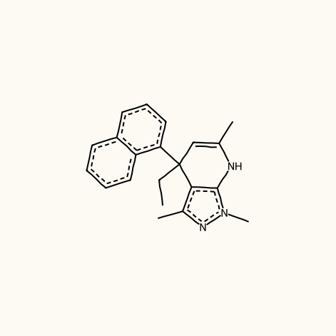 CCC1(c2cccc3ccccc23)C=C(C)Nc2c1c(C)nn2C